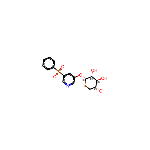 O=S(=O)(c1ccccc1)c1cncc(O[C@H]2SC[C@@H](O)[C@H](O)[C@H]2O)c1